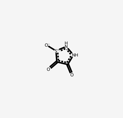 O=c1[nH][nH][s+]([O-])c1=O